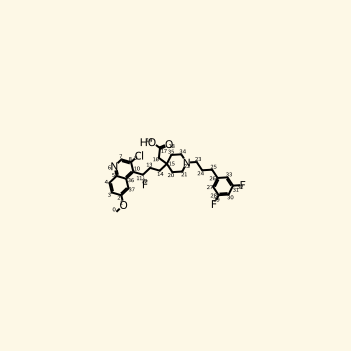 COc1ccc2ncc(Cl)c([C@@H](F)CCC3(CC(=O)O)CCN(CCCc4cc(F)cc(F)c4)CC3)c2c1